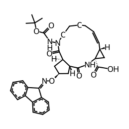 CC(C)(C)OC(=O)NN1CCCC/C=C\[C@@H]2C[C@@]2(C(=O)O)NC(=O)[C@@H]2C[C@@H](ON=C3c4ccccc4-c4ccccc43)C[C@H]2C1=O